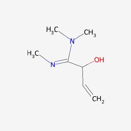 C=CC(O)C(=NC)N(C)C